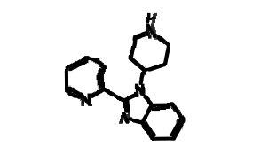 c1ccc(-c2nc3ccccc3n2C2CCNCC2)nc1